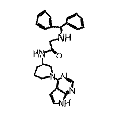 O=C(CNC(c1ccccc1)c1ccccc1)N[C@@H]1CCCN(c2ncnc3[nH]ccc23)C1